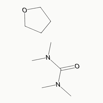 C1CCOC1.CN(C)C(=O)N(C)C